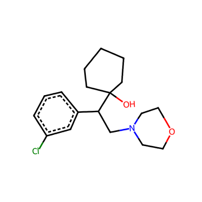 OC1(C(CN2CCOCC2)c2cccc(Cl)c2)CCCCC1